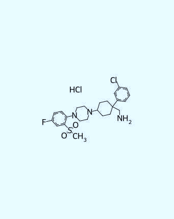 CS(=O)(=O)c1cc(F)ccc1N1CCN(C2CCC(CN)(c3cccc(Cl)c3)CC2)CC1.Cl